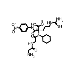 COC(=O)[C@](CCCNC(=N)N)(C(=O)Nc1ccc([N+](=O)[O-])cc1)N(C(=O)CNC(=O)CN)C1CCCCC1